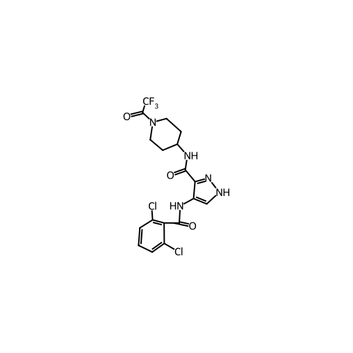 O=C(NC1CCN(C(=O)C(F)(F)F)CC1)c1n[nH]cc1NC(=O)c1c(Cl)cccc1Cl